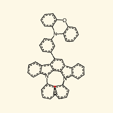 c1ccc(-n2c3ccccc3c3cc(-c4cccc(N5c6ccccc6Oc6ccccc65)c4)c4c5ccccc5n(-c5ccccc5)c4c32)cc1